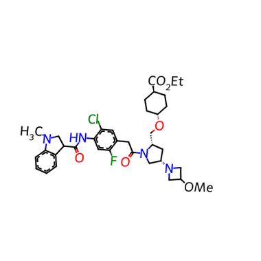 CCOC(=O)[C@H]1CC[C@H](OC[C@@H]2C[C@H](N3CC(OC)C3)CN2C(=O)Cc2cc(Cl)c(NC(=O)C3CN(C)c4ccccc43)cc2F)CC1